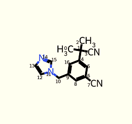 CC(C)(C#N)c1cc(C#N)cc(Cn2ccnc2)c1